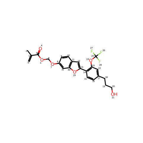 C=C(C)C(=O)OCOc1ccc2cc(-c3ccc(CCCO)cc3OC(F)(F)F)oc2c1